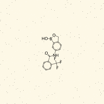 O=C(Nc1ccc2c(c1)B(O)OC2)c1ccccc1C(F)(F)F